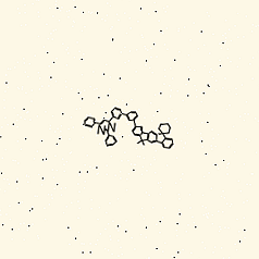 CC1(C)c2ccc(-c3cccc(-c4cccc(-c5cc(-c6ccccc6)nc(-c6ccccc6)n5)c4)c3)cc2-c2cc3c(cc21)-c1ccccc1C31CCCCC1